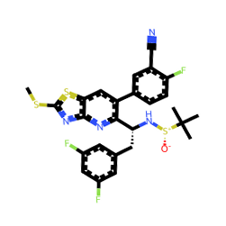 CSc1nc2nc([C@@H](Cc3cc(F)cc(F)c3)N[S@@+]([O-])C(C)(C)C)c(-c3ccc(F)c(C#N)c3)cc2s1